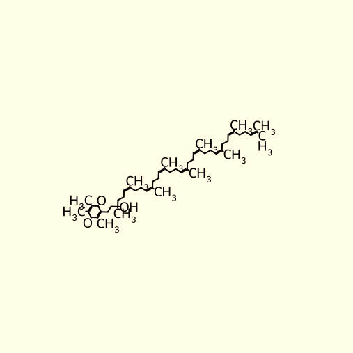 CC(C)=CCCC(C)=CCCC(C)=CCCC(C)=CCCC(C)=CCCC(C)=CCCC(C)=CCCC(C)=CCCC(C)(O)CCC1=C(C)C(=O)C(C)=C(C)C1=O